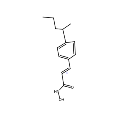 CCCC(C)c1ccc(/C=C/C(=O)NO)cc1